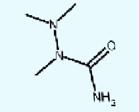 CN(C)N(C)C(N)=O